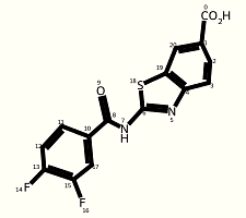 O=C(O)c1ccc2nc(NC(=O)c3ccc(F)c(F)c3)sc2c1